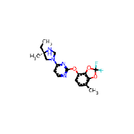 CC[C@]1(C)CN(c2ccnc(Oc3ccc(C)c4c3OC(F)(F)O4)n2)CN1